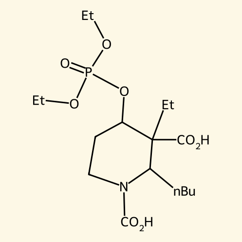 CCCCC1N(C(=O)O)CCC(OP(=O)(OCC)OCC)C1(CC)C(=O)O